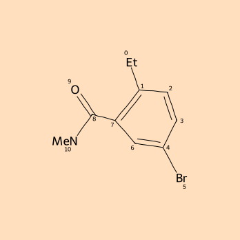 CCc1ccc(Br)cc1C(=O)NC